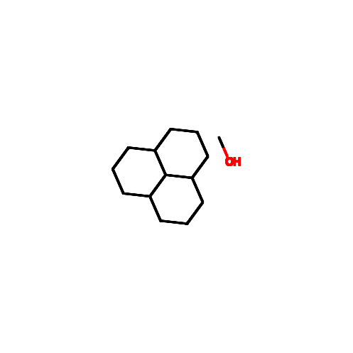 C1CC2CCCC3CCCC(C1)C23.CO